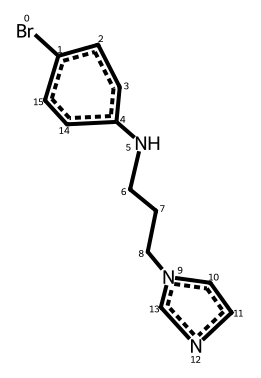 Brc1ccc(NCCCn2ccnc2)cc1